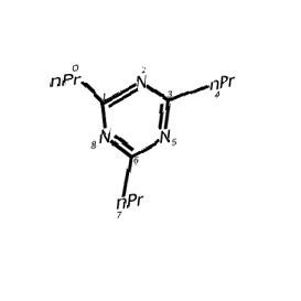 CCCc1nc(CCC)nc(CCC)n1